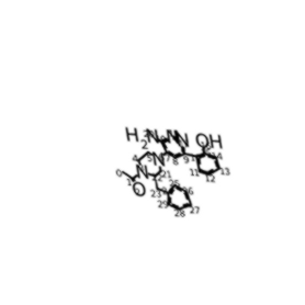 CC(=O)N1CCN(c2cc(-c3ccccc3O)nnc2N)C[C@H]1Cc1ccccc1